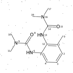 Cc1cccc(NC(=O)N(C)C)c1NC(=O)N(C)C